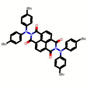 CC(C)(C)c1ccc(N(c2ccc(C(C)(C)C)cc2)N2C(=O)c3ccc4c5c(ccc(c35)C2=O)C(=O)N(N(c2ccc(C(C)(C)C)cc2)c2ccc(C(C)(C)C)cc2)C4=O)cc1